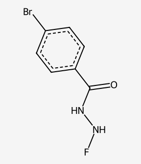 O=C(NNF)c1ccc(Br)cc1